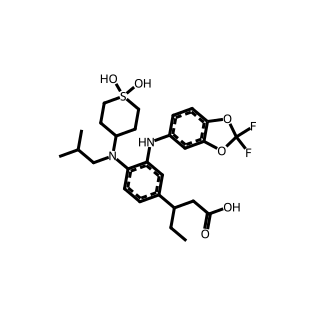 CCC(CC(=O)O)c1ccc(N(CC(C)C)C2CCS(O)(O)CC2)c(Nc2ccc3c(c2)OC(F)(F)O3)c1